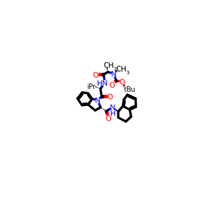 CC(C)[C@H](NC(=O)[C@H](C)N(C)C(=O)OC(C)(C)C)C(=O)N1c2ccccc2C[C@H]1C(=O)N[C@@H]1CCCc2ccccc21